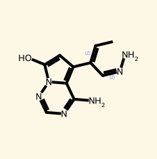 C/C=C(\C=N/N)c1cc(O)n2ncnc(N)c12